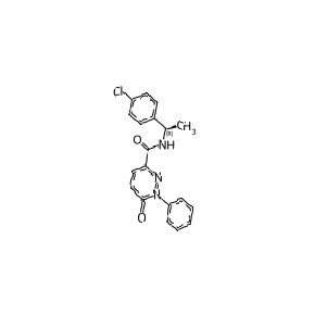 C[C@@H](NC(=O)c1ccc(=O)n(-c2ccccc2)n1)c1ccc(Cl)cc1